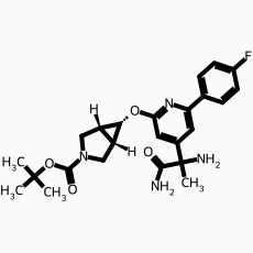 CC(C)(C)OC(=O)N1C[C@@H]2[C@H](C1)[C@@H]2Oc1cc(C(C)(N)C(N)=O)cc(-c2ccc(F)cc2)n1